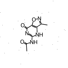 CC(=O)Nc1nc(=O)c2onc(C)c2[nH]1